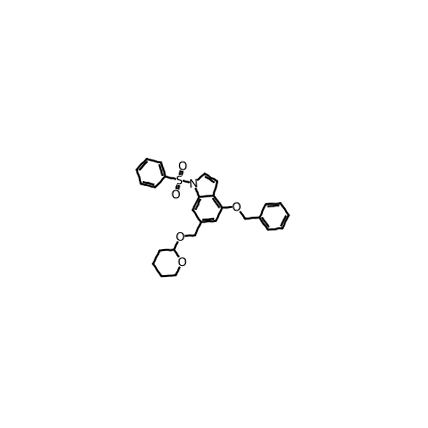 O=S(=O)(c1ccccc1)n1ccc2c(OCc3ccccc3)cc(COC3CCCCO3)cc21